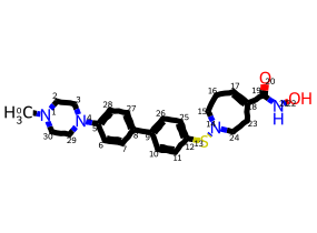 CN1CCN(c2ccc(-c3ccc(SN4CCC=C(C(=O)NO)CC4)cc3)cc2)CC1